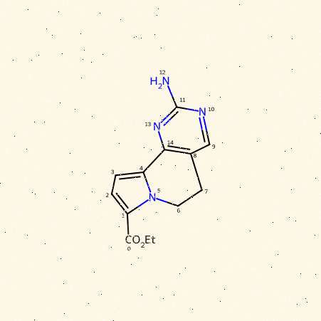 CCOC(=O)c1ccc2n1CCc1cnc(N)nc1-2